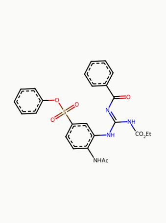 CCOC(=O)N/C(=N\C(=O)c1ccccc1)Nc1cc(S(=O)(=O)Oc2ccccc2)ccc1NC(C)=O